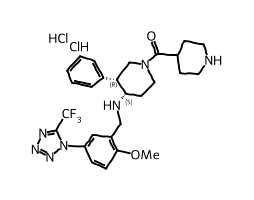 COc1ccc(-n2nnnc2C(F)(F)F)cc1CN[C@H]1CCN(C(=O)C2CCNCC2)C[C@H]1c1ccccc1.Cl.Cl